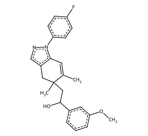 COc1cccc(C(O)CC2(C)Cc3cnn(-c4ccc(F)cc4)c3C=C2C)c1